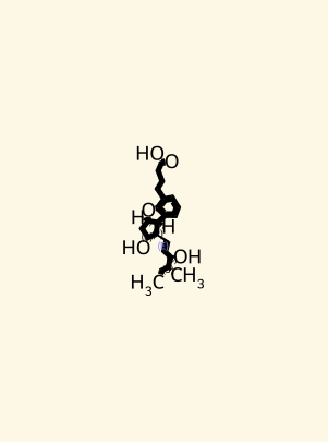 CC[C@H](C)[C@H](O)/C=C/[C@@H]1[C@H]2c3cccc(CCCC(=O)O)c3O[C@H]2C[C@H]1O